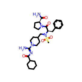 CS(=O)(=O)N(CC1CCN(C(N)=NC(=O)C2CCCCC2)CC1)[C@H](Cc1ccccc1)C(=O)N1CCC[C@H]1C(N)=O